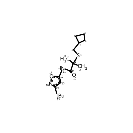 CC(C)(SCC1CCC1)C(=O)Nc1cc(C(C)(C)C)no1